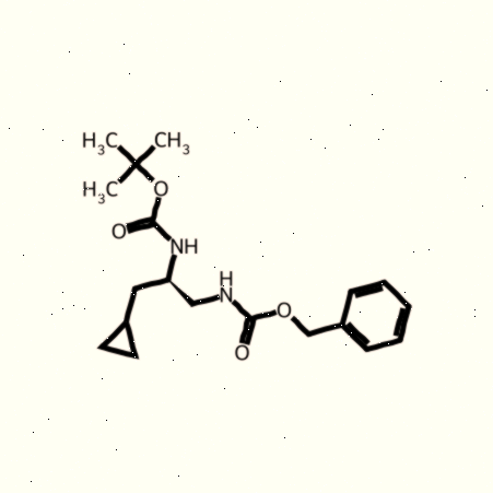 CC(C)(C)OC(=O)N[C@@H](CNC(=O)OCc1ccccc1)CC1CC1